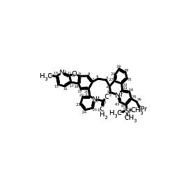 C=C1CC2C(CCc3cc4oc5nc(C)ccc5c4cc3-c3cccc[n+]31)c1ccccc1-c1cc(CC(C)C)c([Si](C)(C)C)c[n+]12